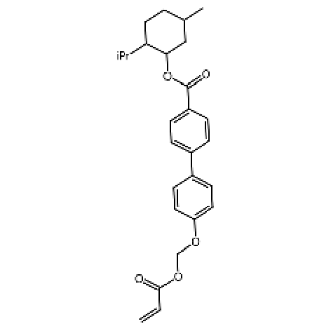 C=CC(=O)OCOc1ccc(-c2ccc(C(=O)OC3CC(C)CCC3C(C)C)cc2)cc1